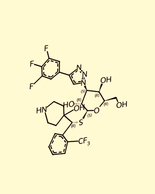 OC[C@H]1O[C@@H](S[C@H](c2ccccc2C(F)(F)F)C2(O)CCNCC2)[C@H](O)[C@@H](n2cc(-c3cc(F)c(F)c(F)c3)nn2)[C@H]1O